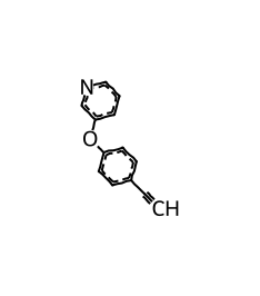 C#Cc1ccc(Oc2cccnc2)cc1